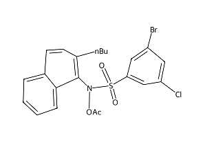 CCCCc1ccc2ccccc2c1N(OC(C)=O)S(=O)(=O)c1cc(Cl)cc(Br)c1